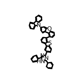 C1=CCC(C2N=C(c3ccc4sc5c(-c6cccc7oc8cc(-n9c%10ccccc%10c%10ccccc%109)ccc8c67)cccc5c4c3)N=C(c3ccccc3)N2)C=C1